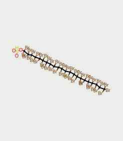 O=[SH](=O)OC(Br)(Br)C(Br)(Br)C(Br)(Br)C(Br)(Br)C(Br)(Br)C(Br)(Br)C(Br)(Br)C(Br)(Br)C(Br)(Br)C(Br)(Br)C(Br)(Br)C(Br)(Br)C(Br)(Br)C(Br)(Br)C(Br)(Br)C(Br)(Br)C(Br)(Br)C(Br)(Br)C(Br)(Br)C(Br)(Br)C(Br)(Br)C(Br)(Br)Br